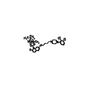 CC(C)(C)CC(C)(C)OC(=O)n1c(=O)ccc2ccc(OCCCCN3CCN(c4cccc(Cl)c4Cl)CC3)cc21